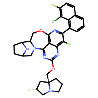 Fc1ccc2cccc(-c3nc4c5c(nc(OC[C@@]67CCCN6C[C@H](F)C7)nc5c3F)N3CC5CCC(N5)C3CO4)c2c1Cl